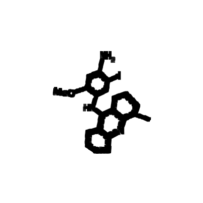 COc1cc(N)c(I)cc1Nc1c2ccccc2nc2c(C)cccc12